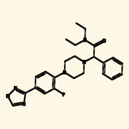 CCN(CC)C(=O)C(c1ccccc1)N1CCN(c2ccc(-c3ncon3)cc2F)CC1